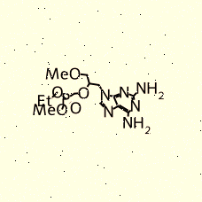 CCOP(=O)(COC(COC)Cn1cnc2c(N)nc(N)nc21)OC